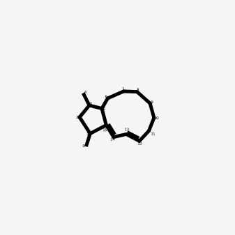 CC1CC(C)C2CCCCCC/C=C/C=C/12